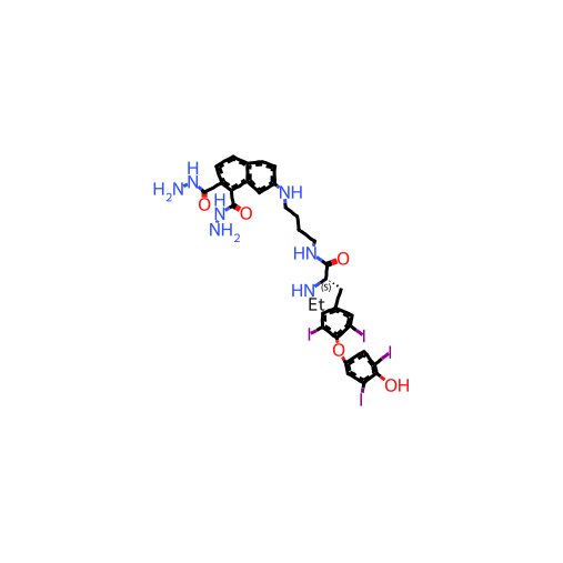 CCN[C@@H](Cc1cc(I)c(Oc2cc(I)c(O)c(I)c2)c(I)c1)C(=O)NCCCCNc1ccc2ccc(C(=O)NN)c(C(=O)NN)c2c1